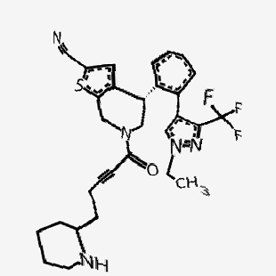 CCn1cc(-c2ccccc2[C@@H]2CN(C(=O)C#CCCC3CCCCN3)Cc3sc(C#N)cc32)c(C(F)(F)F)n1